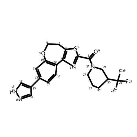 O=C(c1nc2c(s1)CCOc1cc(-c3cn[nH]c3)ccc1-2)N1CCCC(C(F)(F)F)C1